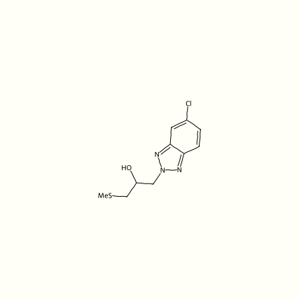 CSCC(O)Cn1nc2ccc(Cl)cc2n1